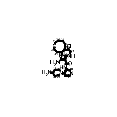 Nc1nn2c(c1C(=O)Nc1cnccc1N1CCC(N)CC1)NCC(Cl)C21CCCCCCCCC1